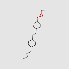 CCCCC1CCC(CCC2CCC(COCC)CC2)CC1